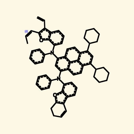 C=Cc1c(/C=C\C)oc2c(N(c3ccccc3)c3cc(N(c4ccccc4)c4cccc5c6c(oc45)CCC=C6)c4ccc5c(C6CCCCC6)cc(C6CCCCC6)c6ccc3c4c65)cccc12